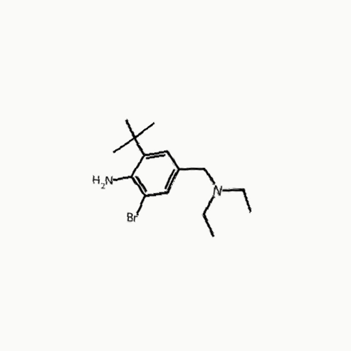 CCN(CC)Cc1cc(Br)c(N)c(C(C)(C)C)c1